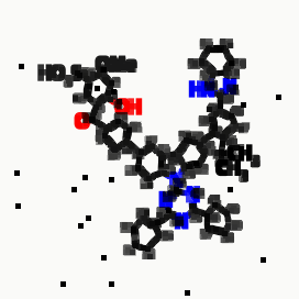 COc1cc(O)c(C(=O)c2ccc(-c3ccc4c(c3)c3cc5c(cc3n4-c3nc(C4=CC=CCC4)nc(C4C=CCCC4)n3)C(C)(C)c3ccc(-c4nc6ccccc6[nH]4)cc3-5)cc2)cc1S(=O)(=O)O